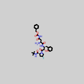 CC(C)(C)NC(=O)[C@@H]1C[C@H](F)CN1C(=O)[C@@H](O)[C@H](Cc1ccccc1)NC(=O)[C@@H](N)CC(=O)NC(=O)OCc1ccccc1